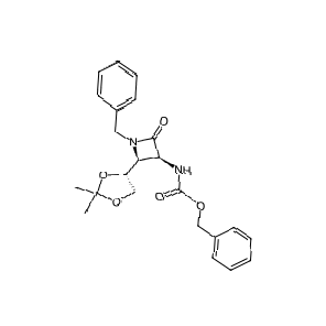 CC1(C)OC[C@@H]([C@@H]2[C@H](NC(=O)OCc3ccccc3)C(=O)N2Cc2ccccc2)O1